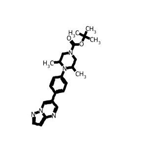 CC1CN(C(=O)OC(C)(C)C)CC(C)N1c1ccc(-c2cnc3ccnn3c2)cc1